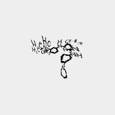 Cc1cnc(Nc2cccc(N3CCCCC3)c2)nc1Nc1cccc(S(=O)(=O)NC(C)(C)C)c1